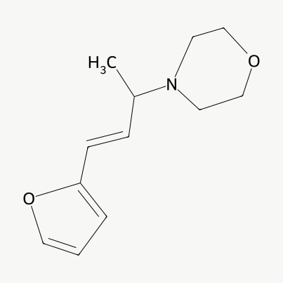 CC(C=Cc1ccco1)N1CCOCC1